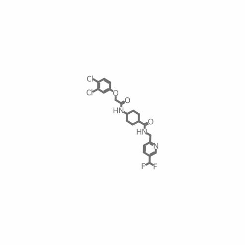 O=C(COc1ccc(Cl)c(Cl)c1)NC1CCC(C(=O)NCc2ccc(C(F)F)cn2)CC1